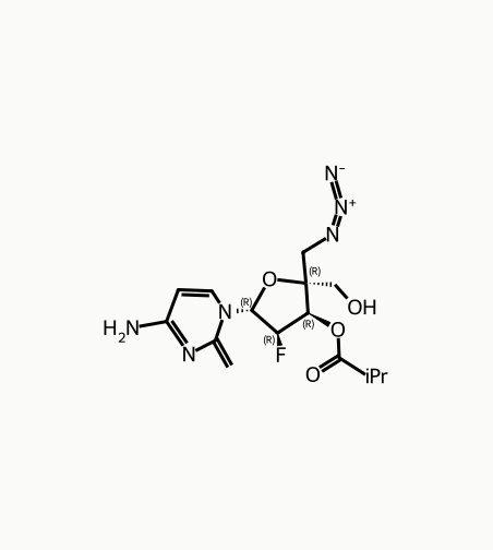 C=C1N=C(N)C=CN1[C@@H]1O[C@@](CO)(CN=[N+]=[N-])[C@@H](OC(=O)C(C)C)[C@H]1F